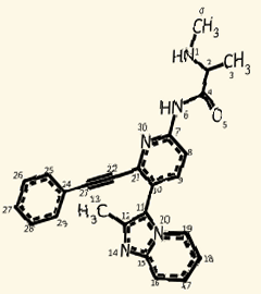 CNC(C)C(=O)Nc1ccc(-c2c(C)nc3ccccn23)c(C#Cc2ccccc2)n1